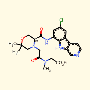 CCOC(=O)CN(C)C(=O)CN1CC(C)(C)OC[C@H]1C(=O)Nc1cc(Cl)cc2c1[nH]c1cnccc12